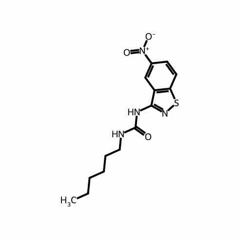 CCCCCCNC(=O)Nc1nsc2ccc([N+](=O)[O-])cc12